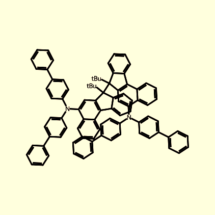 CC(C)(C)C1(C2(C(C)(C)C)c3ccccc3-c3c2cc(N(c2ccc(-c4ccccc4)cc2)c2ccc(-c4ccccc4)cc2)c2ccccc32)c2ccccc2-c2c1cc(N(c1ccc(-c3ccccc3)cc1)c1ccc(-c3ccccc3)cc1)c1ccccc21